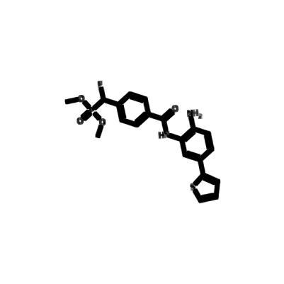 COP(=O)(OC)C(F)c1ccc(C(=O)Nc2cc(-c3cccs3)ccc2N)cc1